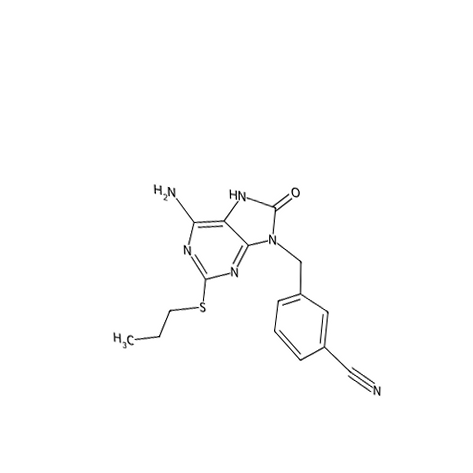 CCCSc1nc(N)c2[nH]c(=O)n(Cc3cccc(C#N)c3)c2n1